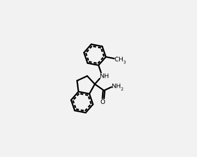 Cc1ccccc1NC1(C(N)=O)CCc2ccccc21